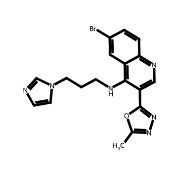 Cc1nnc(-c2cnc3ccc(Br)cc3c2NCCCn2ccnc2)o1